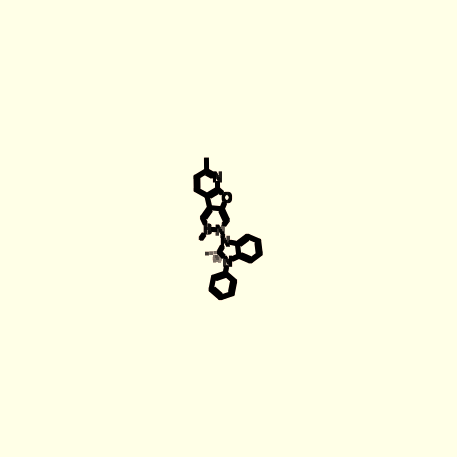 CB1C=c2c(oc3nc(C)ccc23)=CN1N1c2ccccc2N(c2ccccc2)[C@@H]1C